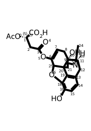 CC(=O)O[C@@H](CC(=O)OC1=CC[C@@]2(O)[C@H]3Cc4ccc(O)c5c4C2(CCN3C)C1O5)C(=O)O